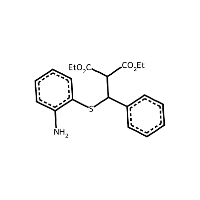 CCOC(=O)C(C(=O)OCC)C(Sc1ccccc1N)c1ccccc1